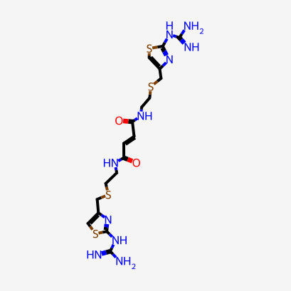 N=C(N)Nc1nc(CSCCNC(=O)/C=C/C(=O)NCCSCc2csc(NC(=N)N)n2)cs1